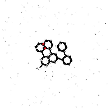 Cc1nc(-c2ccccc2)c2c(-c3ccccc3)cc(-c3ccccc3-c3ccccc3)cc2n1